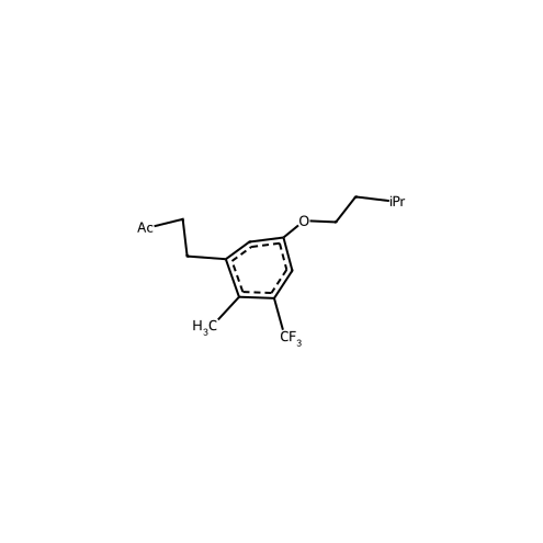 CC(=O)CCc1cc(OCCC(C)C)cc(C(F)(F)F)c1C